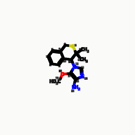 CC1(C)SCc2ccccc2C1n1cnc(N)c1OC(=O)O